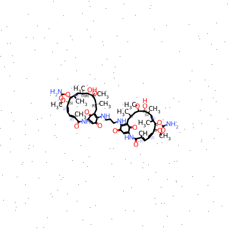 COC1C[C@H](C)CC2=C(NCCCNC3=C4C[C@@H](C)C[C@H](OC)[C@H](O)[C@@H](C)/C=C(\C)[C@H](OC(N)=O)[C@@H](OC)/C=C\C=C(/C)C(=O)NC(=CC3=O)C4=O)C(=O)C=C(NC(=O)/C(C)=C/C=C\[C@H](OC)[C@@H](OC(N)=O)/C(C)=C/[C@H](C)[C@H]1O)C2=O